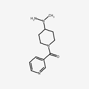 CN(N)C1CCN(C(=O)c2cccnc2)CC1